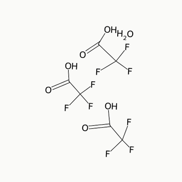 O.O=C(O)C(F)(F)F.O=C(O)C(F)(F)F.O=C(O)C(F)(F)F